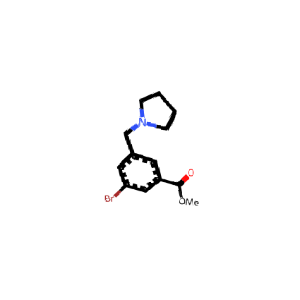 COC(=O)c1cc(Br)cc(CN2CCCC2)c1